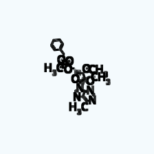 COC1[C@@H](COP(C)(=O)OCc2ccccc2)O[C@@H](n2cnc3c(C)ncnc32)[C@H]1OC